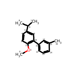 COc1ccc(C(C)C)cc1-c1cccc(C)c1